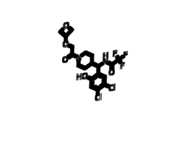 O=C(COC1COC1)N1CCC(C(NC(=O)C(F)(F)F)c2cc(Cl)c(Cl)cc2O)CC1